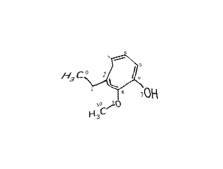 CCc1[c]ccc(O)c1OC